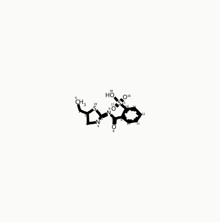 CCC1C[N]C(=NC(=O)c2ccccc2S(=O)(=O)O)S1